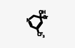 OC1(Br)C=C(C(F)(F)F)C=NC1